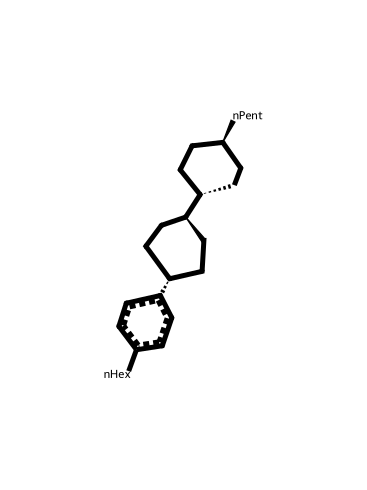 CCCCCCc1ccc([C@H]2CC[C@H]([C@H]3CC[C@H](CCCCC)CC3)CC2)cc1